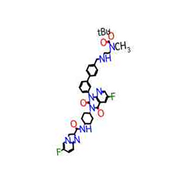 CN(CCNCc1ccc(-c2cccc(-n3c(=O)n([C@H]4CC[C@@H](NC(=O)C5CN6C=C(F)C=CC6=N5)CC4)c(=O)c4cc(F)cnc43)c2)cc1)C(=O)OC(C)(C)C